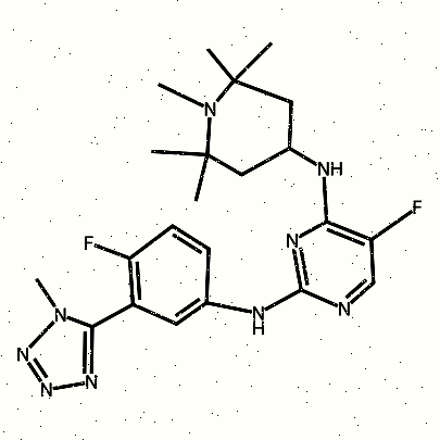 CN1C(C)(C)CC(Nc2nc(Nc3ccc(F)c(-c4nnnn4C)c3)ncc2F)CC1(C)C